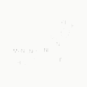 CNc1nc(CNCC2CC(F)CCN2C(=O)c2ccc(F)c(Cl)c2)ccc1C